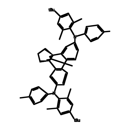 Cc1ccc(N(c2ccc3c(c2)[C@@]24CCC[C@@]2(CC(C)C4)c2cc(N(c4ccc(C)cc4)c4c(C)cc(C(C)(C)C)cc4C)ccc2-3)c2c(C)cc(C(C)(C)C)cc2C)cc1